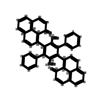 COc1c(-c2ccccc2)c(-c2ccc3cccc4c3c2C(=O)C=C4)c(OC)c(-c2ccccc2)c1-c1ccc2cccc3c2c1C(=O)C=C3